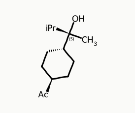 CC(=O)[C@H]1CC[C@H]([C@@](C)(O)C(C)C)CC1